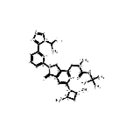 CC(C)n1cnnc1-c1cccc(N2Cc3c(cc(N4[C@H](C)C[C@H]4C)nc3CN(C)C(=O)OC(C)(C)C)C2=O)n1